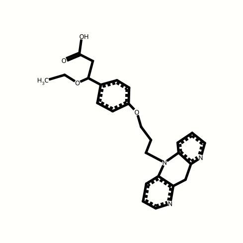 CCOC(CC(=O)O)c1ccc(OCCCN2c3cccnc3Cc3ncccc32)cc1